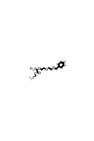 CCOC(=O)C(C)OCCOCCOCc1ccccc1